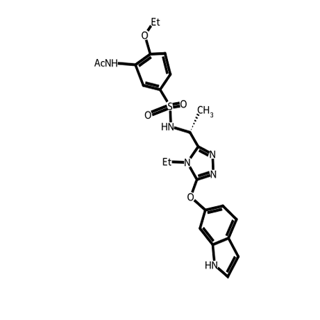 CCOc1ccc(S(=O)(=O)N[C@H](C)c2nnc(Oc3ccc4cc[nH]c4c3)n2CC)cc1NC(C)=O